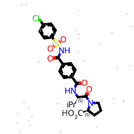 CC(C)[C@H](NC(=O)c1ccc(C(=O)NS(=O)(=O)c2ccc(Cl)cc2)cc1)C(=O)N1CCC[C@H]1C(=O)O